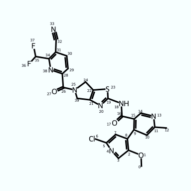 COc1cnc(Cl)cc1-c1cc(C)ncc1C(=O)Nc1nc2c(s1)CN(C(=O)c1ccc(C#N)c(C(F)F)n1)C2